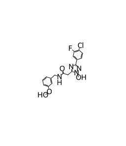 O=C(Cc1nc(-c2ccc(Cl)c(F)c2)nn1O)NCc1cccc(OO)c1